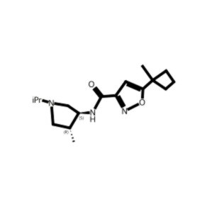 CC(C)N1C[C@@H](C)[C@H](NC(=O)c2cc(C3(C)CCC3)on2)C1